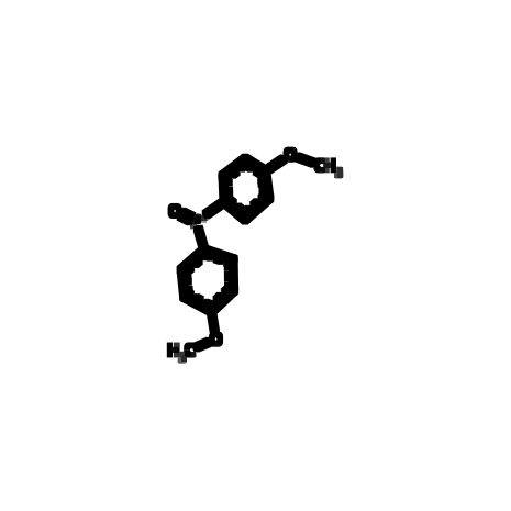 COc1ccc([P+](=O)c2ccc(OC)cc2)cc1